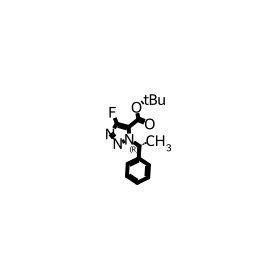 C[C@H](c1ccccc1)n1nnc(F)c1C(=O)OC(C)(C)C